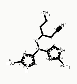 CCCC(CC#N)OP(c1c[nH]c(C)n1)c1c[nH]c(C)n1